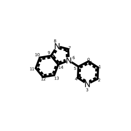 [c]1ccncc1-n1cnc2ccccc21